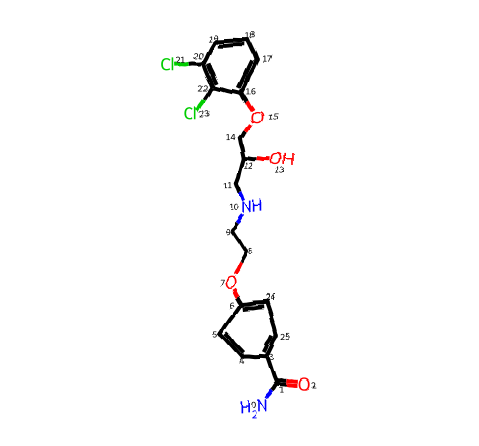 NC(=O)c1ccc(OCCNCC(O)COc2cccc(Cl)c2Cl)cc1